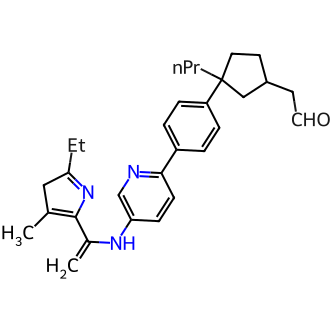 C=C(Nc1ccc(-c2ccc(C3(CCC)CCC(CC=O)C3)cc2)nc1)C1=C(C)CC(CC)=N1